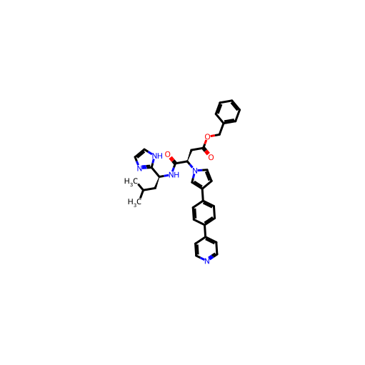 CC(C)C[C@H](NC(=O)[C@@H](CC(=O)OCc1ccccc1)n1ccc(-c2ccc(-c3ccncc3)cc2)c1)c1ncc[nH]1